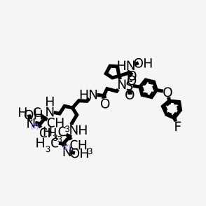 C/C(=N/O)C(C)(C)NCCC(CCNC(=O)CCN(C1(C(=O)NO)CCCC1)S(=O)(=O)c1ccc(Oc2ccc(F)cc2)cc1)CCNC(C)(C)/C(C)=N\O